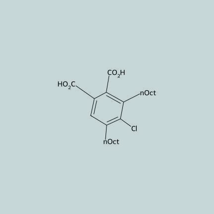 CCCCCCCCc1cc(C(=O)O)c(C(=O)O)c(CCCCCCCC)c1Cl